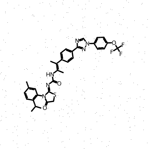 C/C(NC(=O)/N=C1\SCC(=O)N1c1cc(C)ccc1C(C)C)=C(/C)c1ccc(-c2ncn(-c3ccc(OC(F)(F)F)cc3)n2)cc1